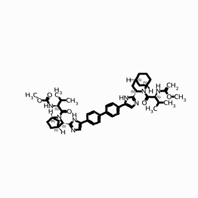 C=C(N[C@H](C(=O)N1[C@H]2CCC[C@@H](C2)C[C@H]1c1ncc(-c2ccc(-c3ccc(-c4cnc([C@@H]5[C@H]6CC[C@H](C6)N5C(=O)[C@@H](NC(=O)OC)C(C)C)[nH]4)cc3)cc2)[nH]1)C(C)C)OC